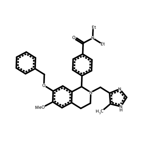 CCN(CC)C(=O)c1ccc(C2c3cc(OCc4ccccc4)c(OC)cc3CCN2Cc2nc[nH]c2C)cc1